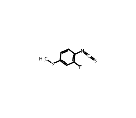 CSc1ccc(N=C=S)c(F)c1